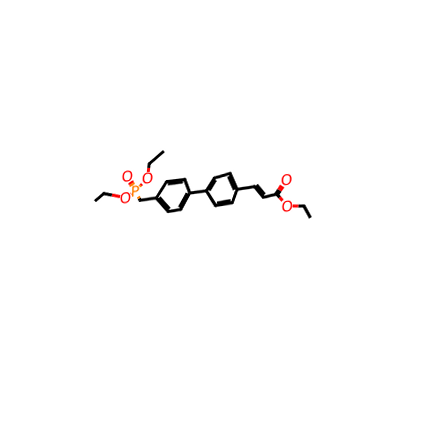 CCOC(=O)/C=C/c1ccc(-c2ccc(CP(=O)(OCC)OCC)cc2)cc1